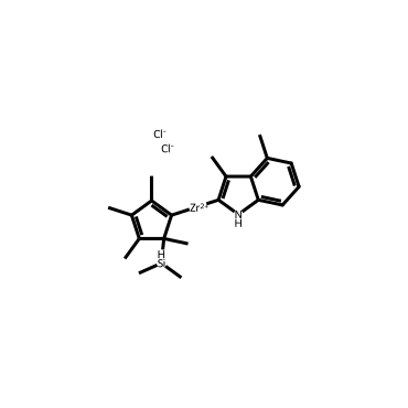 CC1=C(C)C(C)([SiH](C)C)[C]([Zr+2][c]2[nH]c3cccc(C)c3c2C)=C1C.[Cl-].[Cl-]